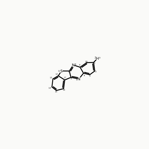 [2H]c1ccc2nc3c(nc2c1)sc1ccccc13